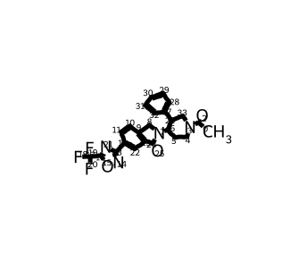 CC(=O)N1CCC(N2Cc3ccc(-c4noc(C(F)(F)F)n4)cc3C2=O)C(c2ccccc2)C1